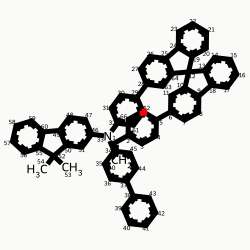 C=Cc1ccc(-c2ccc3c(c2)C2(c4ccccc4-3)c3ccccc3-c3ccc(-c4ccc(N(c5ccc(-c6ccccc6)cc5)c5ccc6c(c5)C(C)(C)c5ccccc5-6)cc4)cc32)cc1